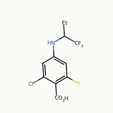 CCC(Nc1cc(F)c(C(=O)O)c(Cl)c1)C(F)(F)F